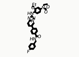 CCOc1cc(N2CCOC2=O)ccc1Nc1nc2ccc(-c3ccc(C(=O)NCc4ccc(F)cc4)cc3)cn2n1